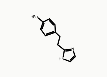 CC(C)(C)c1ccc(CCc2ncc[nH]2)cc1